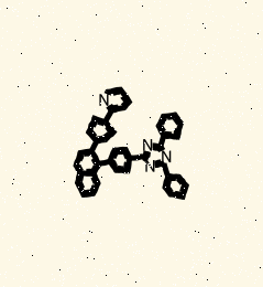 c1ccc(-c2nc(-c3ccccc3)nc(-c3ccc(-c4c(-c5ccc(-c6ccccn6)cc5)ccc5ccccc45)cc3)n2)cc1